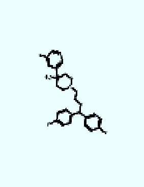 Cc1cccc(C2(O)CCN(CCCC(c3ccc(F)cc3)c3ccc(F)cc3)CC2)c1